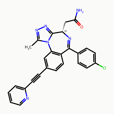 Cc1nnc2n1-c1cc(C#Cc3ccccn3)ccc1C(c1ccc(Cl)cc1)=N[C@H]2CC(N)=O